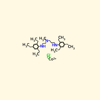 CCc1cc(CC)c(NCCCN(C)CCNc2c(CC)cc(CC)cc2CC)c(CC)c1.[Cl-].[Cl-].[Co+2]